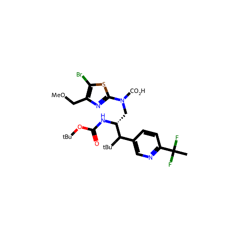 COCc1nc(N(C[C@@H](NC(=O)OC(C)(C)C)C(c2ccc(C(C)(F)F)nc2)C(C)(C)C)C(=O)O)sc1Br